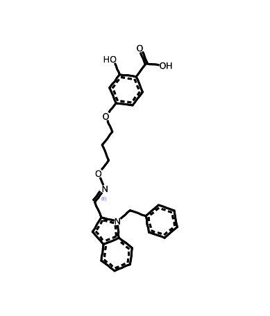 O=C(O)c1ccc(OCCCO/N=C/c2cc3ccccc3n2Cc2ccccc2)cc1O